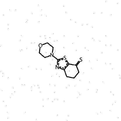 S=C1CCCc2nc(N3CCOCC3)sc21